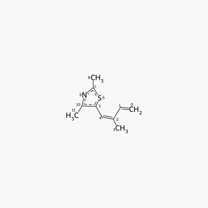 C=C/C(C)=C\c1sc(C)nc1C